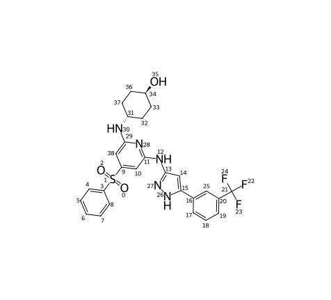 O=S(=O)(c1ccccc1)c1cc(Nc2cc(-c3cccc(C(F)(F)F)c3)[nH]n2)nc(N[C@H]2CC[C@H](O)CC2)c1